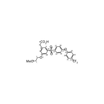 COCCOc1cc(CC(=O)O)cc(S(=O)(=O)c2ccc(Oc3ccc(C(F)(F)F)cc3)cc2)c1